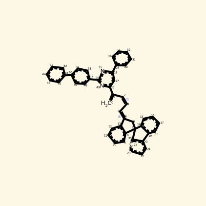 C=C(/C=C\C=C1/CC2(c3ccccc31)c1ccccc1-c1ccccc12)c1cc(-c2ccccc2)nc(-c2ccc(-c3ccccc3)cc2)n1